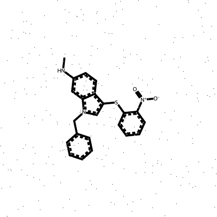 CNc1ccc2c(Sc3ccccc3[N+](=O)[O-])cn(Cc3ccccc3)c2c1